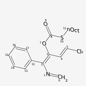 C=N/C(=C(\C=C\Cl)OC(=O)SCCCCCCCC)c1ccccc1